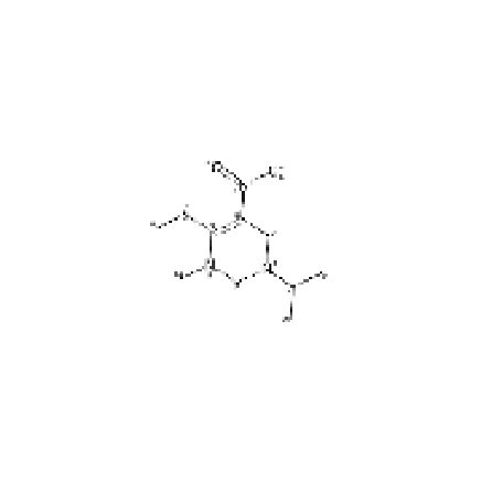 CSC1=C([N+](=O)[O-])CN(C(C)C)CN1C